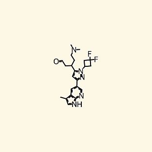 Cc1c[nH]c2ncc(-c3cc(C(CC=O)CCN(C)C)n(C4CC(F)(F)C4)n3)cc12